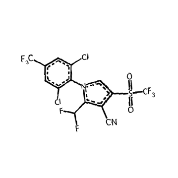 N#Cc1c(S(=O)(=O)C(F)(F)F)cn(-c2c(Cl)cc(C(F)(F)F)cc2Cl)c1C(F)F